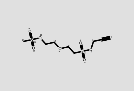 C#CCOS(=O)(=O)CCOCCOS(C)(=O)=O